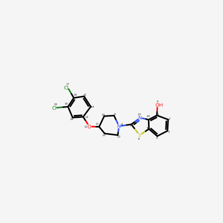 Oc1cccc2sc(N3CCC(Oc4ccc(Cl)c(Cl)c4)CC3)nc12